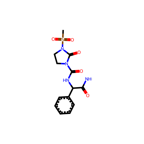 CS(=O)(=O)N1CCN(C(=O)NC(C([NH])=O)c2ccccc2)C1=O